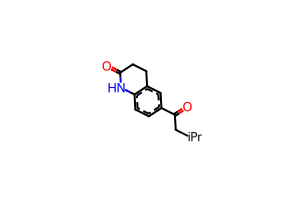 CC(C)CC(=O)c1ccc2c(c1)CCC(=O)N2